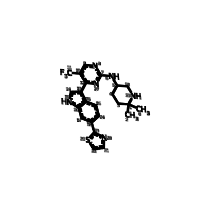 CC1(C)CCC(Nc2ncc(C(F)(F)F)c(-c3c[nH]c4cc(-c5nccs5)ccc34)n2)CN1